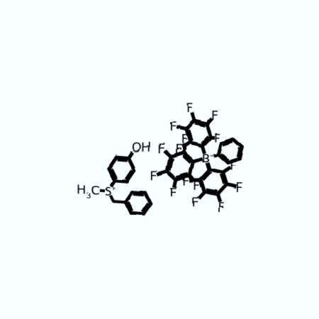 C[S+](Cc1ccccc1)c1ccc(O)cc1.Fc1c(F)c(F)c([B-](c2ccccc2)(c2c(F)c(F)c(F)c(F)c2F)c2c(F)c(F)c(F)c(F)c2F)c(F)c1F